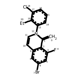 C=C1c2c(F)cc(Br)cc2C=CN1c1cccc(Cl)c1CC